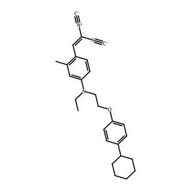 [C-]#[N+]C(=Cc1ccc(N(CC)CCOc2ccc(C3CCCCC3)cc2)cc1C)[N+]#[C-]